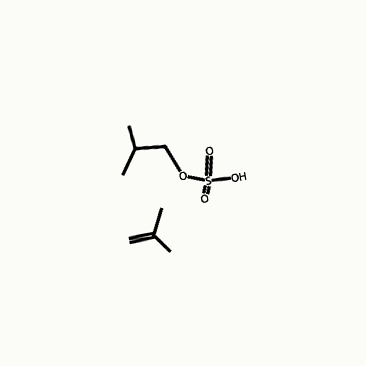 C=C(C)C.CC(C)COS(=O)(=O)O